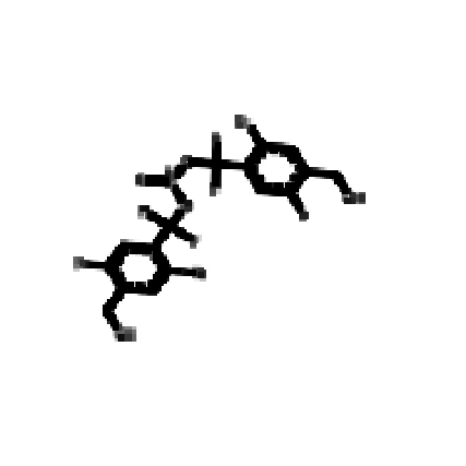 O=[PH](OC(F)(F)c1cc(F)c(CO)cc1Br)OC(F)(F)c1cc(F)c(CO)cc1Br